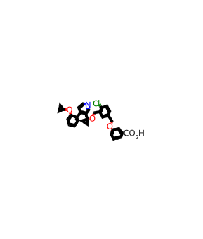 O=C(O)c1cccc(OCc2ccc(Cl)c(COC3(c4cnccc4-c4ccccc4OC4CC4)CC3)c2)c1